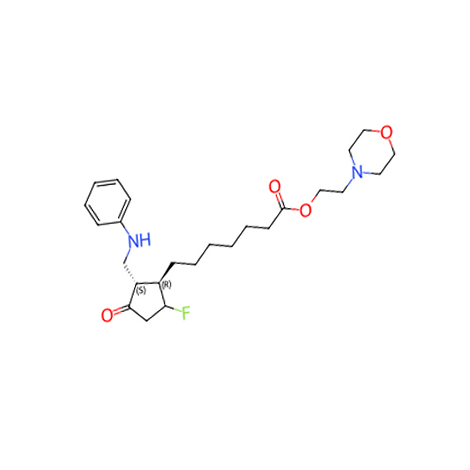 O=C(CCCCCC[C@H]1C(F)CC(=O)[C@@H]1CNc1ccccc1)OCCN1CCOCC1